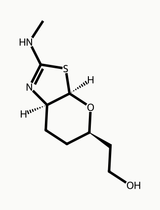 CNC1=N[C@@H]2CC[C@H](CCO)O[C@@H]2S1